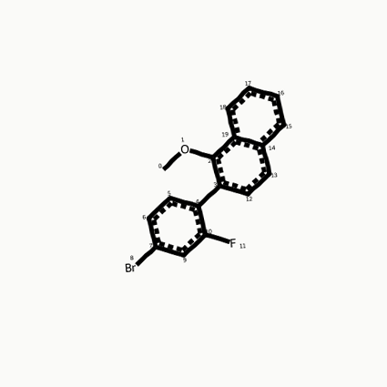 COc1c(-c2ccc(Br)cc2F)ccc2ccccc12